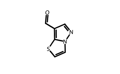 O=Cc1cnn2ccsc12